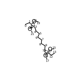 CC[Si](CCCCCCCC[Si](CC)(OC)OC)(OC)OC